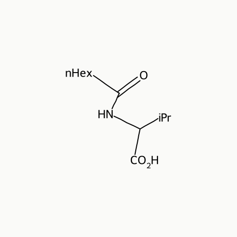 CCCCCCC(=O)NC(C(=O)O)C(C)C